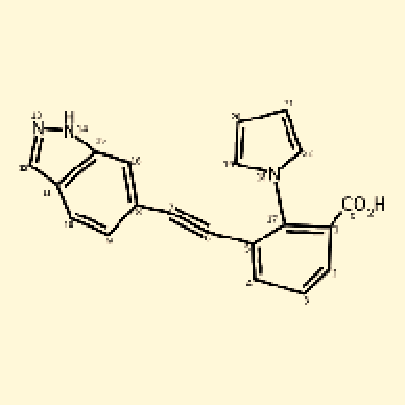 O=C(O)c1cccc(C#Cc2ccc3cn[nH]c3c2)c1-n1cccc1